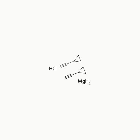 C#CC1CC1.C#CC1CC1.Cl.[MgH2]